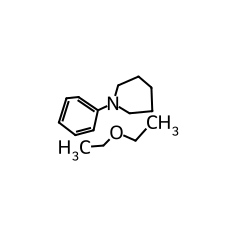 CCOCC.c1ccc(N2CCCCC2)cc1